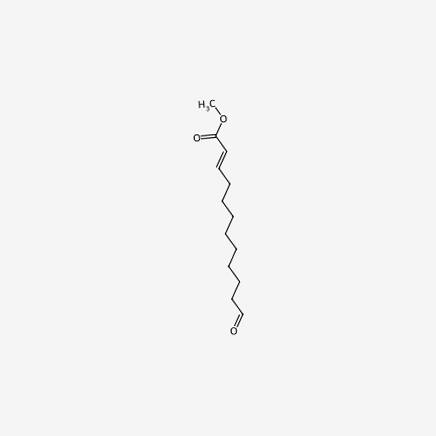 COC(=O)C=CCCCCCCCCC=O